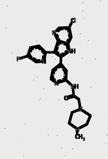 CN1CCN(CC(=O)Nc2cc(-c3[nH]c4cc(Cl)cnc4c3-c3ccc(F)cn3)ccn2)CC1